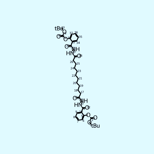 CC(C)(C)OC(=O)Oc1ccccc1C(=O)NNC(=O)CCCCCCCCCCC(=O)NNC(=O)c1ccccc1OC(=O)OC(C)(C)C